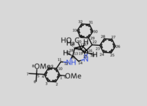 COc1ccc(C(C)(C)OC)cc1CN[C@H]1CN2CC[C@H]1[C@H](C(=O)O)[C@@H]2C(c1ccccc1)c1ccccc1